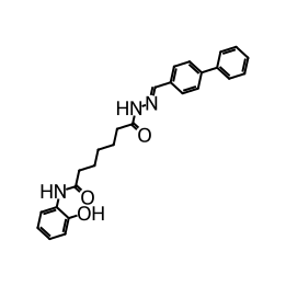 O=C(CCCCCC(=O)Nc1ccccc1O)NN=Cc1ccc(-c2ccccc2)cc1